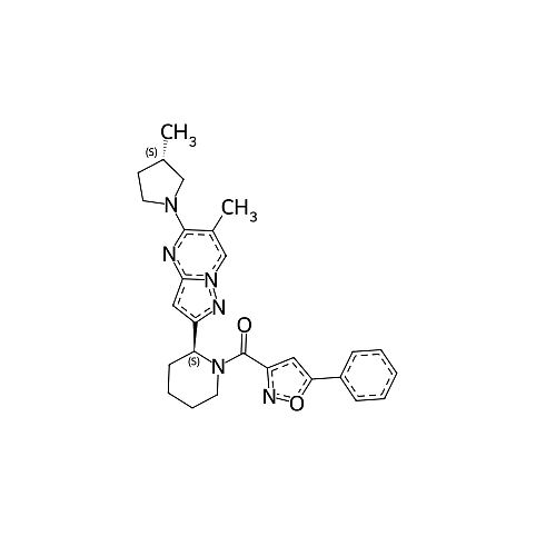 Cc1cn2nc([C@@H]3CCCCN3C(=O)c3cc(-c4ccccc4)on3)cc2nc1N1CC[C@H](C)C1